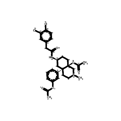 CC(=O)Oc1cccc([C@@]23CCN(C)C[C@@]2(OC(C)=O)CC[C@H](NC(=O)Cc2ccc(Cl)c(Cl)c2)C3)c1